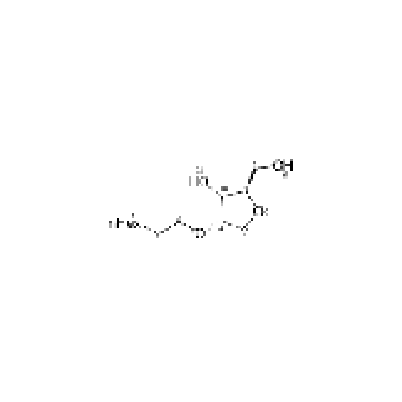 CCCCCCCCO[C@H]1[CH]O[C@H](CO)[C@H]1O